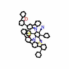 N#Cc1c(-c2ccccc2)c(C#N)c(-n2c3c(ccc4c5ccccc5sc43)c3ccc4c(sc5cccc(-c6ccccc6)c54)c32)c(-c2ccccc2)c1-n1c2ccccc2c2cc(-c3cccc4c3oc3ccccc34)ccc21